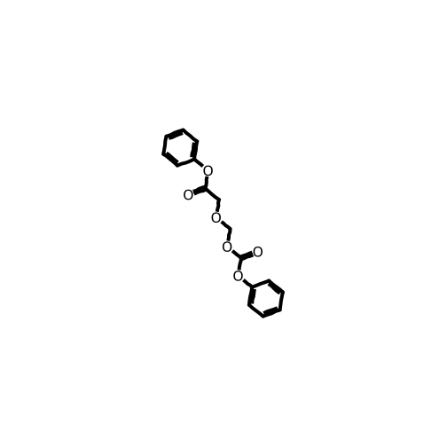 O=C(COCOC(=O)Oc1ccccc1)Oc1ccccc1